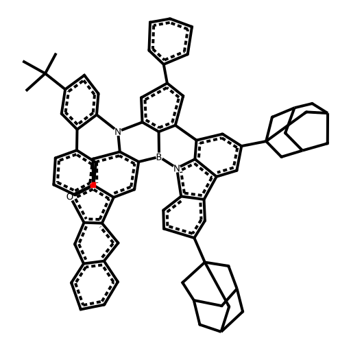 CC(C)(C)c1ccc(N2c3cc4oc5cc6ccccc6cc5c4cc3B3c4c(cc(-c5ccccc5)cc42)-c2cc(C45CC6CC(CC(C6)C4)C5)cc4c5cc(C67CC8CC(CC(C8)C6)C7)ccc5n3c24)c(-c2ccccc2)c1